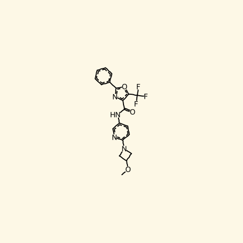 COC1CN(c2ccc(NC(=O)c3nc(-c4ccccc4)oc3C(F)(F)F)cn2)C1